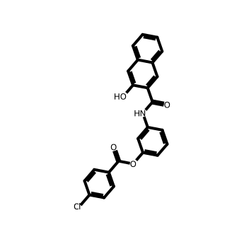 O=C(Oc1cccc(NC(=O)c2cc3ccccc3cc2O)c1)c1ccc(Cl)cc1